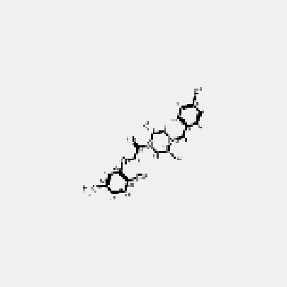 C[C@@H]1CN(Cc2ccc(F)cc2)[C@@H](C)CN1C(=O)COc1cc(C(F)(F)F)ccc1F